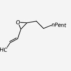 CCCCCCCC1OC1C=CC=O